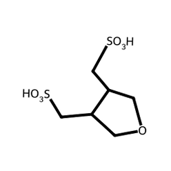 O=S(=O)(O)CC1COCC1CS(=O)(=O)O